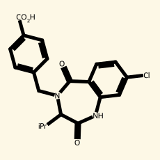 CC(C)C1C(=O)Nc2cc(Cl)ccc2C(=O)N1Cc1ccc(C(=O)O)cc1